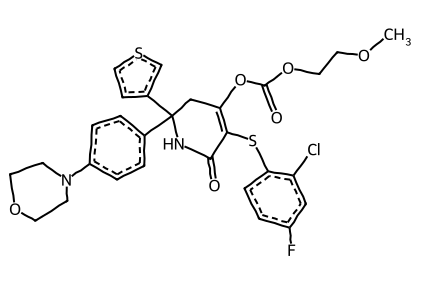 COCCOC(=O)OC1=C(Sc2ccc(F)cc2Cl)C(=O)NC(c2ccc(N3CCOCC3)cc2)(c2ccsc2)C1